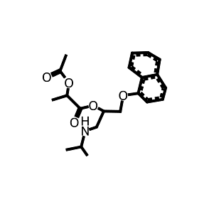 CC(=O)OC(C)C(=O)OC(CNC(C)C)COc1cccc2ccccc12